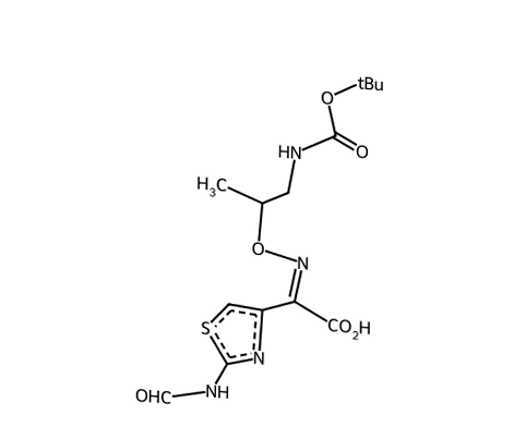 CC(CNC(=O)OC(C)(C)C)O/N=C(/C(=O)O)c1csc(NC=O)n1